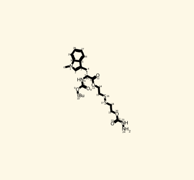 Cn1cc(C[C@@H](NC(=O)OC(C)(C)C)C(=O)OCCSSCCOC(=O)NN)c2ccccc21